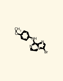 COc1ccc(Nc2nccn3c(Br)cnc23)cc1